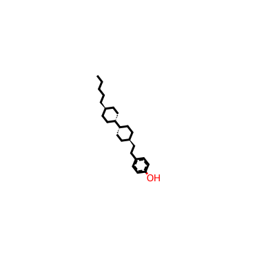 CCCCC[C@H]1CC[C@H]([C@H]2CC[C@H](CCc3ccc(O)cc3)CC2)CC1